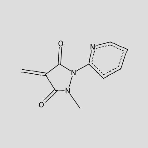 C=C1C(=O)N(C)N(c2ccccn2)C1=O